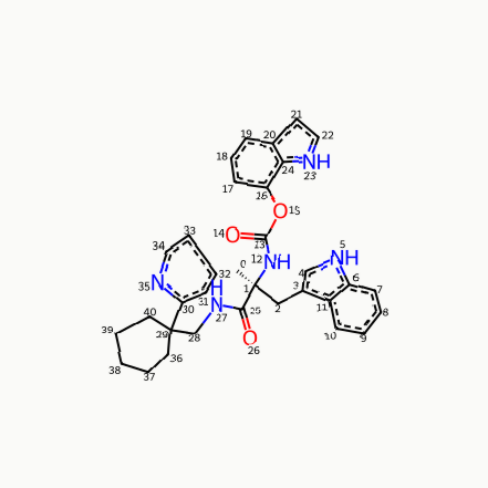 C[C@@](Cc1c[nH]c2ccccc12)(NC(=O)Oc1cccc2cc[nH]c12)C(=O)NCC1(c2ccccn2)CCCCC1